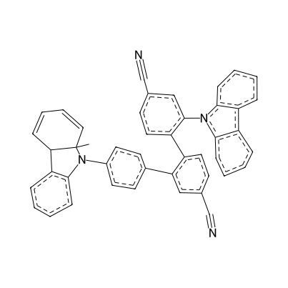 CC12C=CC=CC1c1ccccc1N2c1ccc(-c2cc(C#N)ccc2-c2ccc(C#N)cc2-n2c3ccccc3c3ccccc32)cc1